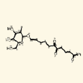 CC(C)C(=O)CCCC(=O)C(=O)CCCCCOC1OC(CO)C(O)C(O)C1C